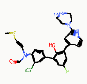 CSC#CN(C=O)c1ccc(-c2cc(F)cc(-c3ccnc(N4CCNCC4)c3)c2O)cc1Cl